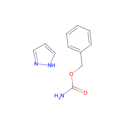 NC(=O)OCc1ccccc1.c1cn[nH]c1